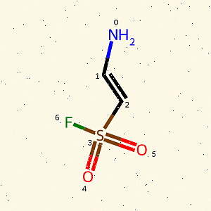 NC=CS(=O)(=O)F